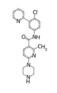 Cc1nc(N2CCNCC2)ccc1C(=O)Nc1ccc(Cl)c(-c2ccccn2)c1